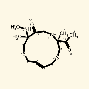 CN[C@@]1(C)CSC/C=C/CSC[C@@](C)(C(C)=O)NCC1=O